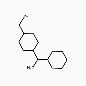 CC(C)CC1CCC(C(C)C2CCCCC2)CC1